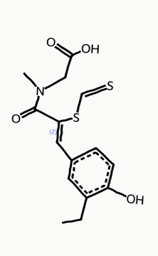 CCc1cc(/C=C(\SC=S)C(=O)N(C)CC(=O)O)ccc1O